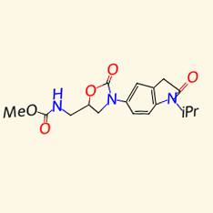 COC(=O)NCC1CN(c2ccc3c(c2)CC(=O)N3C(C)C)C(=O)O1